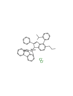 CCCc1ccc2c(c1-c1ccccc1C(C)C)C=C(c1ccccc1)[CH]2[Zr+2]1[c]2cccc3c2[SiH]1c1ccccc1-3.[Cl-].[Cl-]